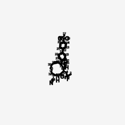 CC(C)(F)C[C@@H]1N[C@@](c2ccc(-c3ccc(S(C)(=O)=O)cc3)cc2)(C(F)(F)F)C#CCSC[C@@H](C#N)NC1=O